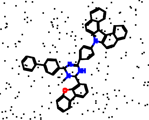 CN1C(c2ccc(-c3ccccc3)cc2)N=C(c2ccc(-n3c4ccc5ccccc5c4c4c5ccccc5ccc43)cc2)NC1c1cccc2c1oc1ccccc12